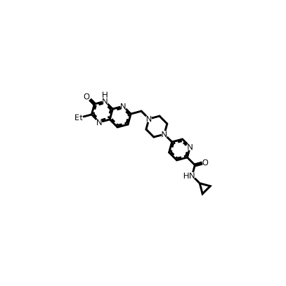 CCc1nc2ccc(CN3CCN(c4ccc(C(=O)NC5CC5)nc4)CC3)nc2[nH]c1=O